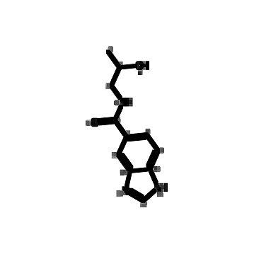 CC(O)CNC(=O)c1ccc2[nH]cnc2c1